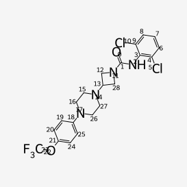 O=C(Nc1c(Cl)cccc1Cl)N1CC(N2CCN(c3ccc(OC(F)(F)F)cc3)CC2)C1